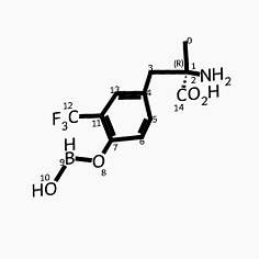 C[C@@](N)(Cc1ccc(OBO)c(C(F)(F)F)c1)C(=O)O